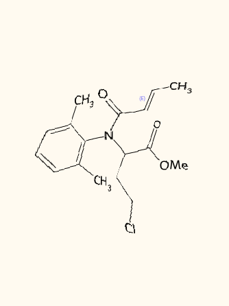 C/C=C/C(=O)N(c1c(C)cccc1C)C(CCCl)C(=O)OC